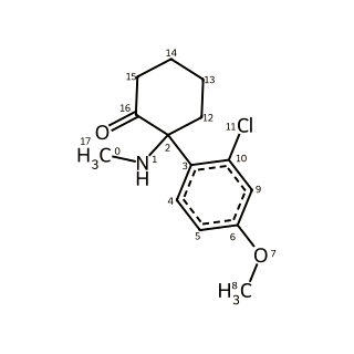 CNC1(c2ccc(OC)cc2Cl)CCCCC1=O